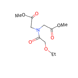 CCOCC(=O)N(CC(=O)OC)CC(=O)OC